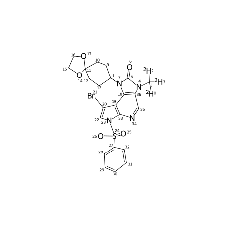 [2H]C([2H])([2H])n1c(=O)n(C2CCC3(CC2)OCCO3)c2c3c(Br)cn(S(=O)(=O)c4ccccc4)c3ncc21